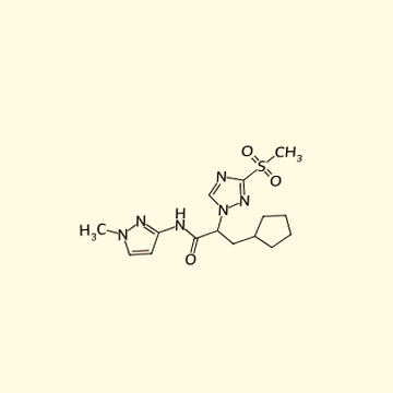 Cn1ccc(NC(=O)C(CC2CCCC2)n2cnc(S(C)(=O)=O)n2)n1